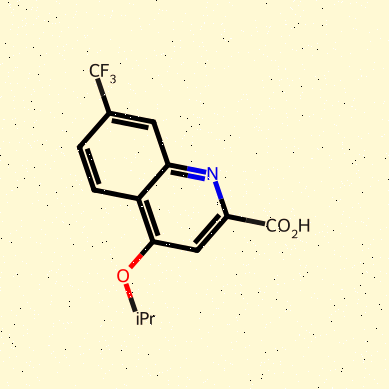 CC(C)Oc1cc(C(=O)O)nc2cc(C(F)(F)F)ccc12